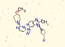 COC1CCN(c2nccc(Nc3cc4c(cn3)nc(C)n4[C@@H]3CCC(C#N)C3)n2)CC1